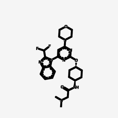 CN(C)CC(=O)N[C@H]1CC[C@H](Oc2nc(N3CCOCC3)cc(-n3c(C(F)F)nc4ccccc43)n2)CC1